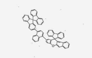 c1ccc2c(c1)-c1ccccc1C21c2cc(-c3ccc(-c4ccc5c(c4)C4(c6ccccc6-c6ccccc64)c4ccccc4-5)c4ccccc34)ccc2Oc2cc3ccccc3cc21